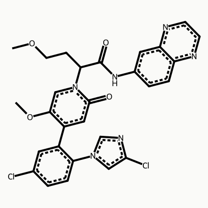 COCCC(C(=O)Nc1ccc2nccnc2c1)n1cc(OC)c(-c2cc(Cl)ccc2-n2cnc(Cl)c2)cc1=O